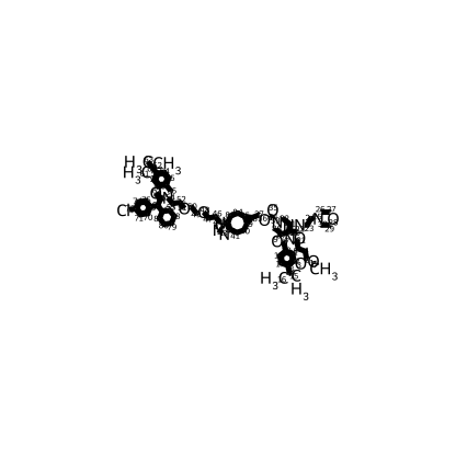 COC(=O)CCCN(C(=O)c1ccc(C(C)C)cc1)C1(C(=O)NCCN2CCOCC2)CCN(C(=O)OCC2C3CCc4nnn(CCOCCOCCN(Cc5ccc(C(C)(C)C)cc5)C(=O)C(c5ccc(Cl)cc5)C5CCCCC5)c4CCC32)CC1